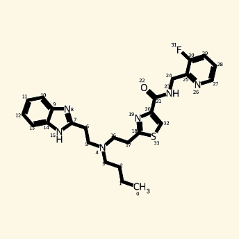 CCCCN(CCc1nc2ccccc2[nH]1)CCc1nc(C(=O)NCc2ncccc2F)cs1